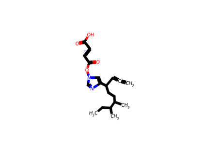 C=C=CC(CCC(C)C(C)CC)c1cn(OC(=O)/C=C/C(=O)O)cn1